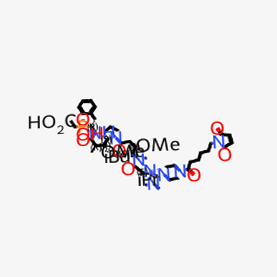 CC[C@H](C)[C@@H]([C@@H](CC(=O)N1CCC[C@H]1[C@H](OC)[C@@H](C)C(=O)N[C@@H](Cc1ccccc1)P(=O)(O)CC(=O)O)OC)N(C)C(=O)[C@@H](/N=C(\N(C)C)N1CCN(C(=O)CCCCCN2C(=O)C=CC2=O)CC1)C(C)C